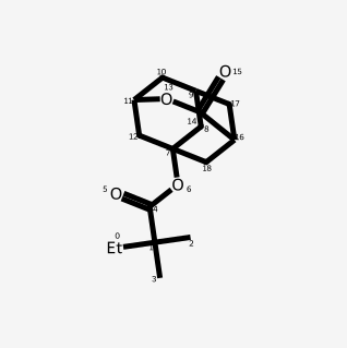 CCC(C)(C)C(=O)OC12CC3CC(C1)OC(=O)C(C3)C2